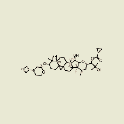 C[C@@H]1CC(C(OC(=O)C2CC2)C(C)(C)O)OC2[C@H]1C1(C)CCC34CC35CCC(O[C@H]3CN(C6COC6)CCO3)C(C)(C)[C@@H]5CCC4[C@]1(C)[C@H]2O